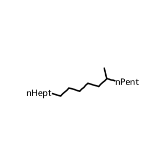 [CH2]CCCCC(C)CCCCCCCCCCCC